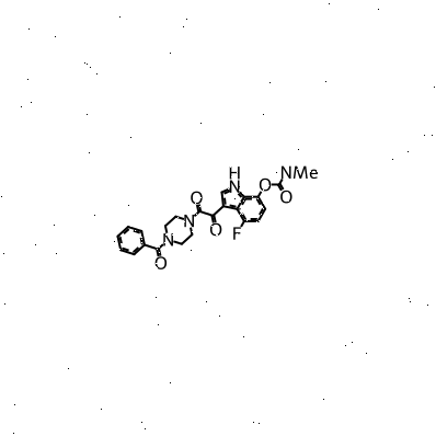 CNC(=O)Oc1ccc(F)c2c(C(=O)C(=O)N3CCN(C(=O)c4ccccc4)CC3)c[nH]c12